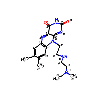 Cc1cc2nc3c(=O)[nH]c(=O)nc-3n(CCNCCN(C)C)c2cc1C